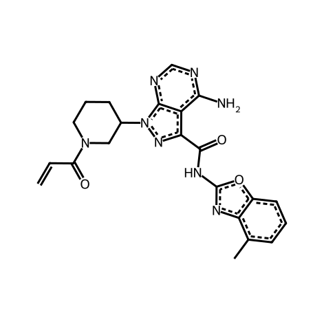 C=CC(=O)N1CCCC(n2nc(C(=O)Nc3nc4c(C)cccc4o3)c3c(N)ncnc32)C1